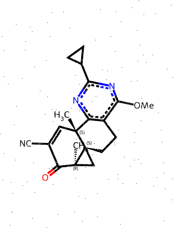 COc1nc(C2CC2)nc2c1CC[C@@]13C[C@@]1(C)C(=O)C(C#N)=C[C@]23C